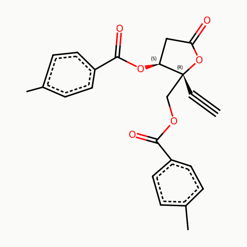 C#C[C@]1(COC(=O)c2ccc(C)cc2)OC(=O)C[C@@H]1OC(=O)c1ccc(C)cc1